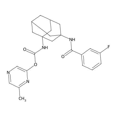 Cc1cncc(OC(=O)NC23CC4CC(C2)CC(NC(=O)c2cccc(F)c2)(C4)C3)n1